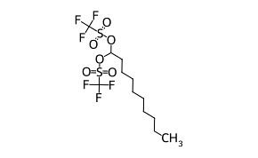 CCCCCCCCCC(OS(=O)(=O)C(F)(F)F)OS(=O)(=O)C(F)(F)F